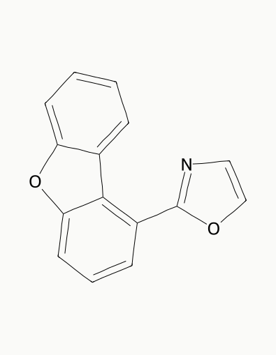 c1ccc2c(c1)oc1cccc(-c3ncco3)c12